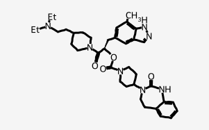 CCN(CC)CCC1CCN(C(=O)[C@@H](Cc2cc(C)c3[nH]ncc3c2)OC(=O)N2CCC(N3CCc4ccccc4NC3=O)CC2)CC1